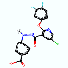 CN(NC(=O)c1cc(Cl)cnc1Oc1ccc(F)c(F)c1)c1ccc(C(=O)O)cc1